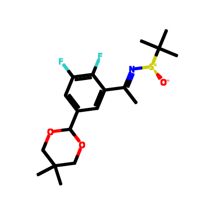 C/C(=N\[S@+]([O-])C(C)(C)C)c1cc(C2OCC(C)(C)CO2)cc(F)c1F